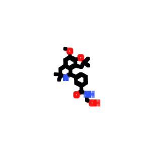 COc1cc2c(c3c1OC(C)(C)C3)C(c1cccc(C(=O)NCO)c1)=NC(C)(C)C2